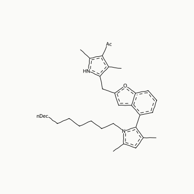 CCCCCCCCCCCCCCCCn1c(C)cc(C)c1-c1cccc2oc(Cc3[nH]c(C)c(C(C)=O)c3C)cc12